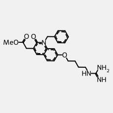 COC(=O)Cc1cc2ccc(OCCCCNC(=N)N)cc2n(Cc2ccccc2)c1=O